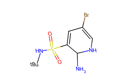 CC(C)(C)NS(=O)(=O)C1=CC(Br)=CNC1N